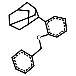 c1ccc(COc2ccccc2C2[C]3CC4CC(C3)CC2C4)cc1